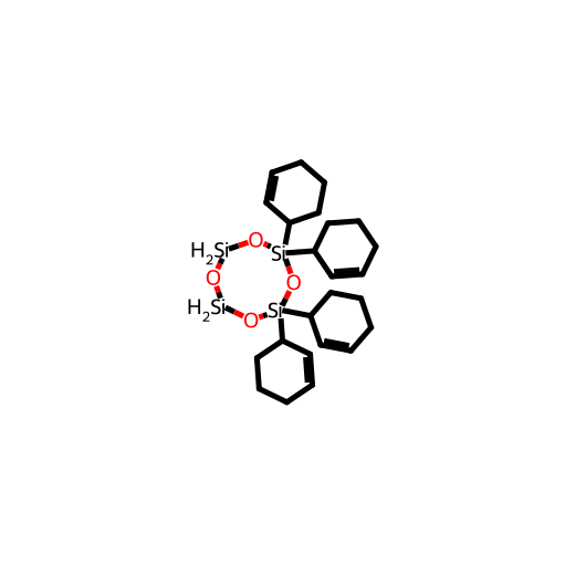 C1=CC([Si]2(C3C=CCCC3)O[SiH2]O[SiH2]O[Si](C3C=CCCC3)(C3C=CCCC3)O2)CCC1